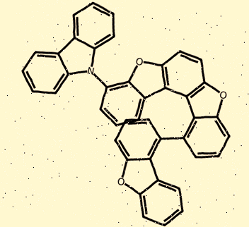 c1ccc2c(c1)oc1cccc(-c3cccc4oc5ccc6oc7c(-n8c9ccccc9c9ccccc98)cccc7c6c5c34)c12